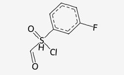 O=C[SH](=O)(Cl)c1cccc(F)c1